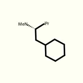 CN[C@@H](CC1CCCCC1)C(C)C